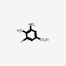 CCOC(=O)c1cc(F)c(C)c([N+](=O)[O-])c1